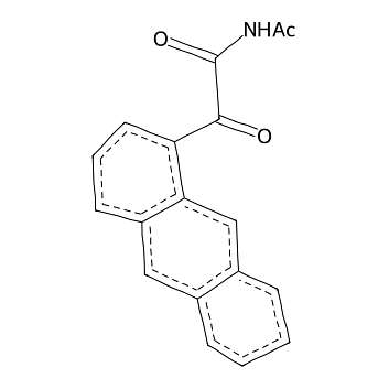 CC(=O)NC(=O)C(=O)c1cccc2cc3ccccc3cc12